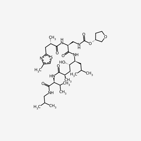 Cc1csc(C[C@H](C)C(=O)N[C@@H](CNC(=O)O[C@@H]2CCOC2)C(=O)N[C@@H](CC(C)C)[C@@H](O)C[C@@H](C)C(=O)N[C@H](C(=O)NCC(C)C)C(C)C)n1